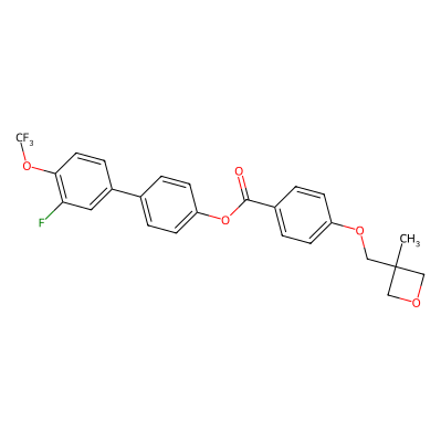 CC1(COc2ccc(C(=O)Oc3ccc(-c4ccc(OC(F)(F)F)c(F)c4)cc3)cc2)COC1